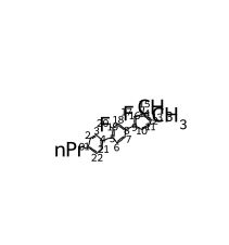 CCCc1ccc(-c2ccc(-c3ccc(C)c(C)c3F)cc2F)cc1